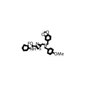 COc1ccc(CN(Cc2ccc3c(c2)OCO3)Cc2nc(C(=O)Nc3ccccc3F)cs2)cc1